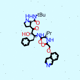 CC(C)[C@@H](NC(=O)COc1cccc2cnccc12)C(=O)N[C@@H](Cc1ccccc1)[C@H](O)C(=O)C1CCN[C@H]1C(=O)NC(C)(C)C